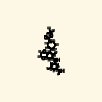 CNc1cc(C)nc(Nc2cc3c(c(C4=CCN(C(=O)OC(C)(C)C)CCC4)c2C)OCCO3)n1